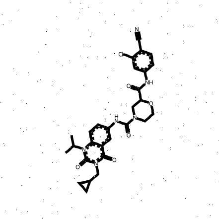 CC(C)n1c(=O)n(CC2CC2)c(=O)c2cc(NC(=O)N3CCOC(C(=O)Nc4ccc(C#N)c(Cl)c4)C3)ccc21